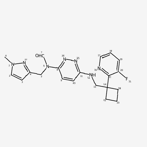 Cn1ccc(CN(C=O)c2ccc(NCC3(c4ncccc4F)CCC3)nn2)n1